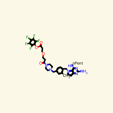 CCCCCNc1nc(N)nc2ccn(Cc3ccc(CN4CCN(C(=O)CCOCCC(=O)Oc5c(F)c(F)c(F)c(F)c5F)CC4)cc3C)c12